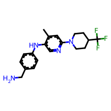 Cc1cc(N2CCC(C(F)(F)F)CC2)ncc1Nc1ccc(CN)cc1